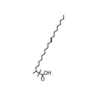 CCCCCCCCC=CCCCCCCCCCC(C)C(C)(C)C(=O)O